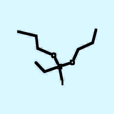 CCCO[Si](I)(CC)OCCC